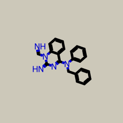 N=Cn1c(=N)nc(N(Cc2ccccc2)c2ccccc2)c2ccccc21